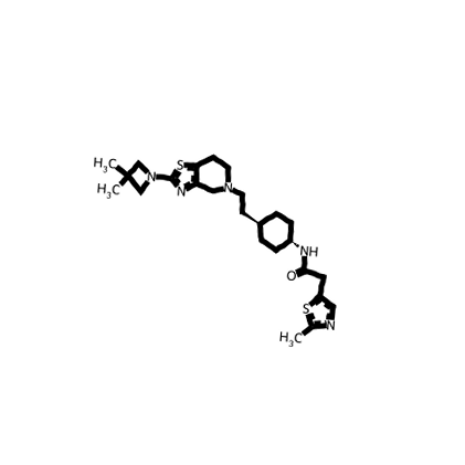 Cc1ncc(CC(=O)N[C@H]2CC[C@H](CCN3CCc4sc(N5CC(C)(C)C5)nc4C3)CC2)s1